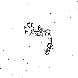 CN(Cc1cccc(F)c1)c1ncnc2c1ncn2[C@H]1CC[C@@H](COCc2ccc(-n3cccn3)nc2)O1